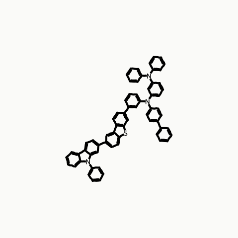 c1ccc(-c2ccc(N(c3cccc(-c4ccc5c(c4)sc4ccc(-c6ccc7c8ccccc8n(-c8ccccc8)c7c6)cc45)c3)c3cccc(N(c4ccccc4)c4ccccc4)c3)cc2)cc1